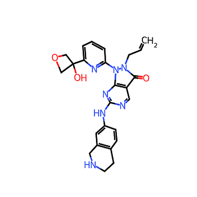 C=CCn1c(=O)c2cnc(Nc3ccc4c(c3)CNCC4)nc2n1-c1cccc(C2(O)COC2)n1